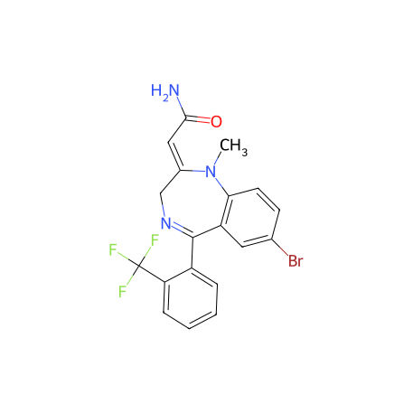 CN1C(=CC(N)=O)CN=C(c2ccccc2C(F)(F)F)c2cc(Br)ccc21